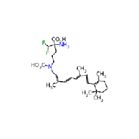 CC(C=CC1=C(C)CCCC1(C)C)=CC=CC(C)=CCN(CCCC(N)(C(=O)O)C(F)F)C(=O)O